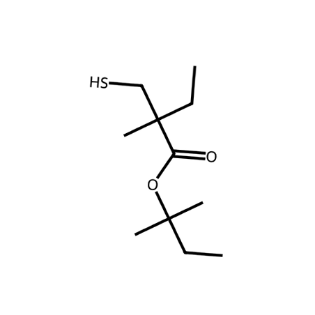 CCC(C)(C)OC(=O)C(C)(CC)CS